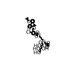 CN(CCCCN(CCS(C)(=O)=O)C(=O)C(O)C(O)C(O)C(O)CO)S(=O)(=O)c1ccc(Cl)c(COC2(c3cnccc3-c3ccccc3OC3CC3)CC2)c1